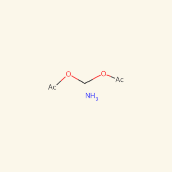 CC(=O)OCOC(C)=O.N